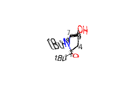 CC(C)(C)C(=O)[C@@H]1C[C@@H](O)CN1C(C)(C)C